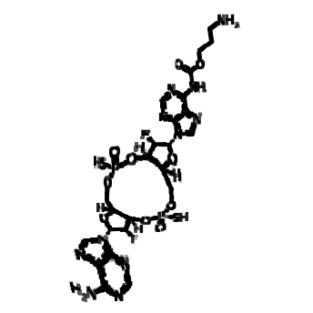 NCCCOC(=O)Nc1ncnc2c1ncn2[C@@H]1O[C@@H]2CO[P@@](=O)(S)O[C@H]3[C@@H](F)[C@H](n4cnc5c(N)ncnc54)O[C@@H]3CO[P@@](=O)(S)O[C@H]2[C@H]1F